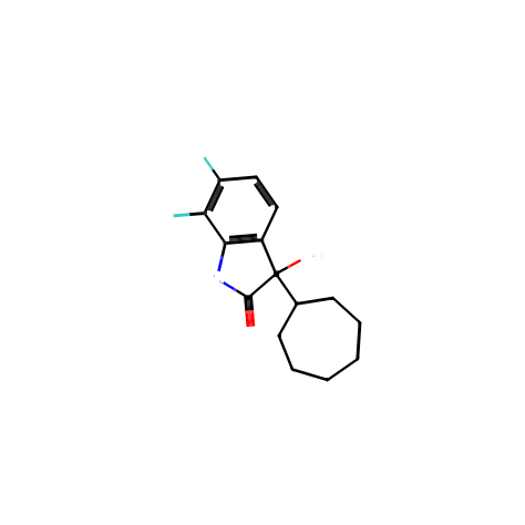 O=C1Nc2c(ccc(F)c2F)C1(O)C1CCCCCC1